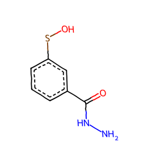 NNC(=O)c1cccc(SO)c1